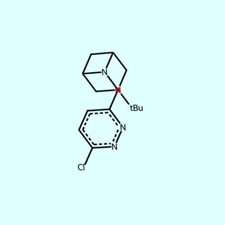 CC(C)(C)N1CC2CC(C1)N2Cc1ccc(Cl)nn1